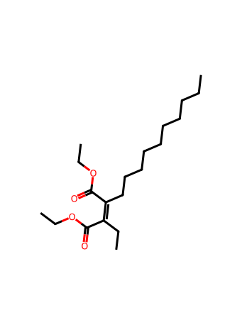 CCCCCCCCCC/C(C(=O)OCC)=C(\CC)C(=O)OCC